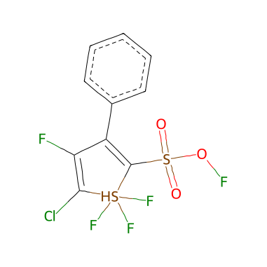 O=S(=O)(OF)C1=C(c2ccccc2)C(F)=C(Cl)[SH]1(F)(F)F